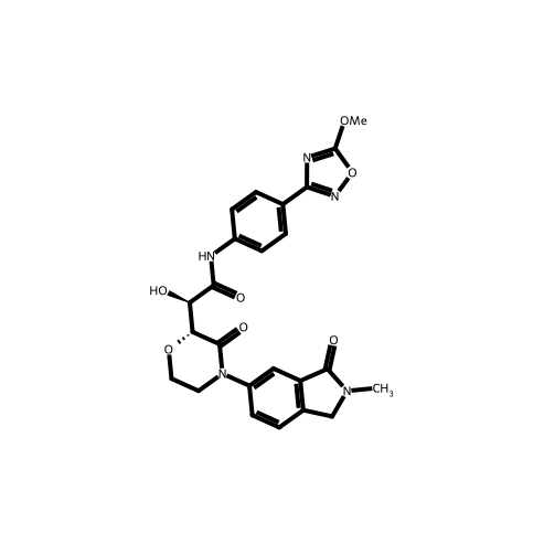 COc1nc(-c2ccc(NC(=O)[C@H](O)[C@H]3OCCN(c4ccc5c(c4)C(=O)N(C)C5)C3=O)cc2)no1